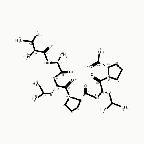 CC(C)C[C@H](NC(=O)[C@@H]1CCCN1C(=O)[C@H](CC(C)C)NC(=O)[C@H](C)NC(=O)[C@@H](N)C(C)C)C(=O)N1CCC[C@H]1C(=O)O